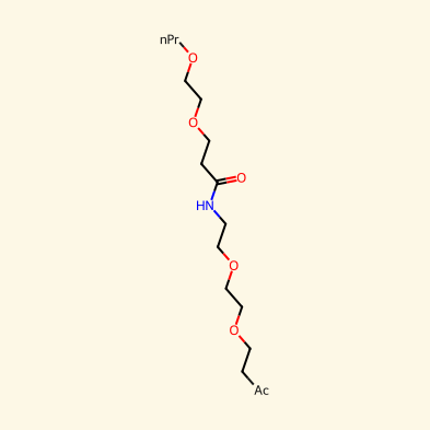 CCCOCCOCCC(=O)NCCOCCOCCC(C)=O